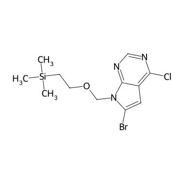 C[Si](C)(C)CCOCn1c(Br)cc2c(Cl)ncnc21